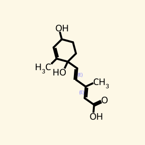 CC1=CC(O)CCC1(O)/C=C/C(C)=C/C(=O)O